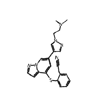 CN(C)CCn1cc(-c2cc(Sc3ccccc3C#N)c3ccnn3c2)cn1